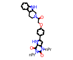 CCCn1c(=O)c2[nH]c(-c3ccc(OCC(=O)N4CCc5c([nH]c6ccccc56)C4)cc3)cc2n(CCC)c1=O